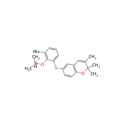 CC1=Cc2cc(Sc3cccc(C(C)(C)C)c3O[SiH](C)C)ccc2OC1(C)C